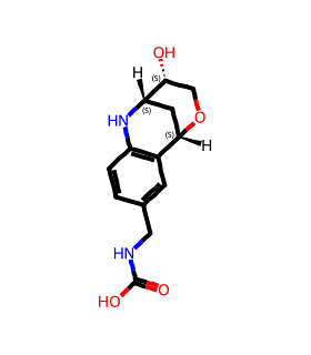 O=C(O)NCc1ccc2c(c1)[C@@H]1C[C@H](N2)[C@H](O)CO1